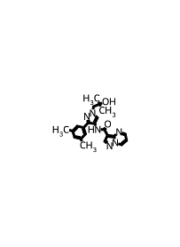 Cc1cc(C)cc(-c2nn(CC(C)(C)O)cc2NC(=O)c2cnn3cccnc23)c1